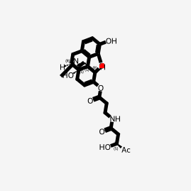 CC(=O)[C@@H](O)CC(=O)NCCC(=O)OC1=CC[C@@]2(O)[C@H]3Cc4ccc(O)c5c4[C@@]2(CCN3C)[C@H]1O5